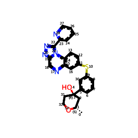 C[C@H]1C[C@@](O)(c2cccc(Sc3ccc4c(c3)ncc3nnc(-c5ccccn5)n34)c2)CCO1